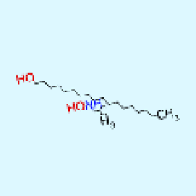 CCCCCCCCCCCCCCCCCCO.CCNO